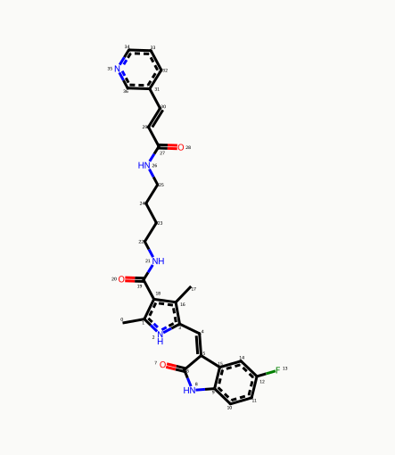 Cc1[nH]c(C=C2C(=O)Nc3ccc(F)cc32)c(C)c1C(=O)NCCCCNC(=O)/C=C/c1cccnc1